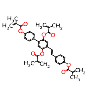 C=C(C)C(=O)Oc1ccc(/C=C/c2cc(OC(=O)C(=C)C)c(-c3ccc(OC(=O)C(=C)C)cc3)cc2OC(=O)C(=C)C)cc1